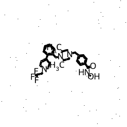 C[C@@H]1CN(Cc2ccc(C(=O)NO)cc2)C[C@H](C)N1Cc1ccccc1C1=CCN(CC(F)(F)F)CC1